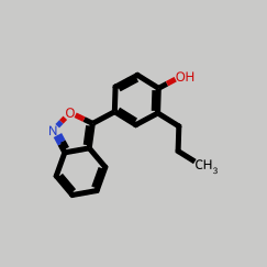 CCCc1cc(-c2onc3ccccc23)ccc1O